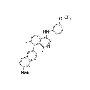 CNc1ncc2cc(-c3c(C)ccc4c(Nc5cccc(OC(F)(F)F)c5)nnc(C)c34)ccc2n1